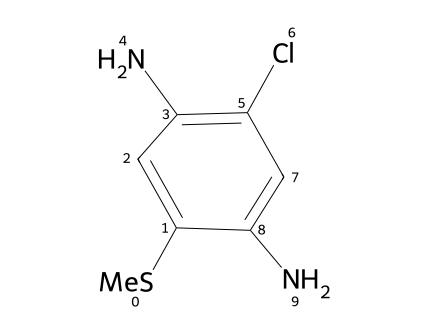 CSc1cc(N)c(Cl)cc1N